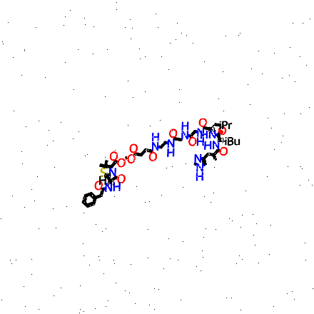 CCC(C)[C@H](NC(=O)C(C)Cc1c[nH]cn1)C(=O)N[C@@H](CC(C)C)C(=O)NCC(=O)NCC(=O)NCCNC(=O)CCC(=O)OCOC(=O)C1N2C(=O)[C@@H](NC(=O)Cc3ccccc3)[C@H]2SC1(C)C